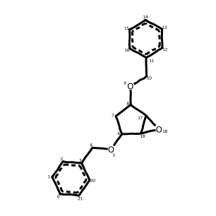 c1ccc(COC2CC(OCc3ccccc3)C3OC23)cc1